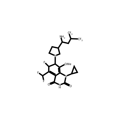 COC1=c2c(c(=O)[nH]c(=O)n2C2CC2)=C(C(F)F)C(F)C1N1CCC(C(N)CC(C(F)(F)F)C(F)(F)F)C1